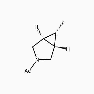 CC(=O)N1C[C@@H]2[C@@H](C)[C@@H]2C1